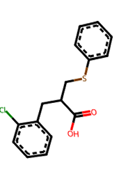 O=C(O)C(CSc1ccccc1)Cc1ccccc1Cl